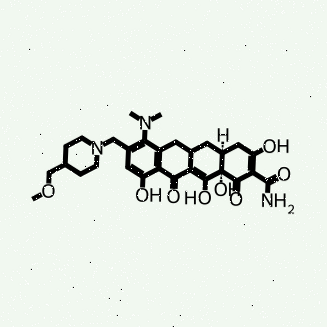 COCC1CCN(Cc2cc(O)c3c(c2N(C)C)CC2C[C@H]4CC(O)=C(C(N)=O)C(=O)[C@@]4(O)C(O)=C2C3=O)CC1